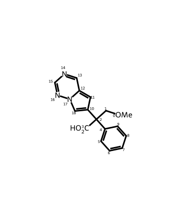 COCC(C(=O)O)(c1ccccc1)c1cc2cncnn2c1